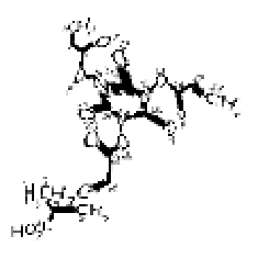 C=C(C)C(=O)O.C=CC(=O)On1c(=O)n(OC(=O)C=C)c(=O)n(OC(=O)C=C)c1=O